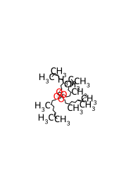 CC(C)=CCCC(C)CCO[Si](OCCC(C)CCC=C(C)C)(OCCC(C)CCC=C(C)C)OCCC(C)CCC=C(C)C